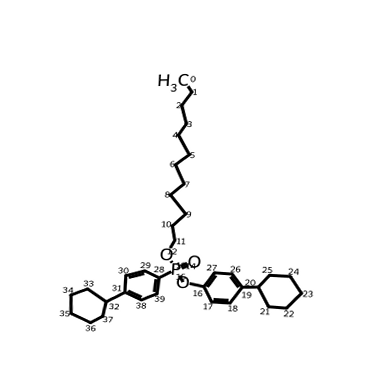 CCCCCCCCCCCCOP(=O)(Oc1ccc(C2CCCCC2)cc1)c1ccc(C2CCCCC2)cc1